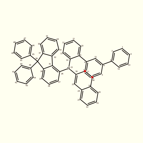 c1ccc(-c2cccc(-c3ccccc3N(c3ccc4ccccc4c3)c3cccc4c3-c3ccccc3C4(c3ccccc3)c3ccccc3)c2)cc1